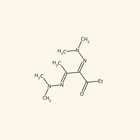 CCC(=O)C(=NN(C)C)C(C)=NN(C)C